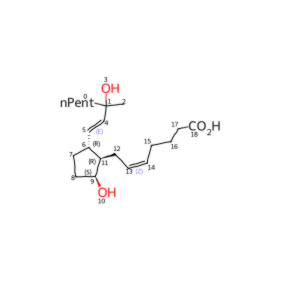 CCCCCC(C)(O)/C=C/[C@H]1CC[C@H](O)[C@@H]1C/C=C\CCCC(=O)O